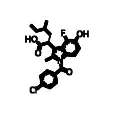 CCC(C)C[C@@H](C(=O)O)c1c(C)n(C(=O)c2ccc(Cl)cc2)c2ccc(O)c(F)c12